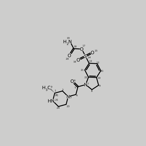 C[C@@H]1CN(CC(=O)N2CCc3ccc(S(=O)(=O)OC(N)=O)cc32)CCN1